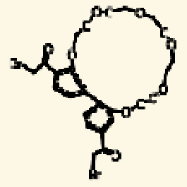 O=C(CBr)c1ccc2c(c1)OCCOCCOCCOCCOCCOc1cc-2ccc1C(=O)CBr